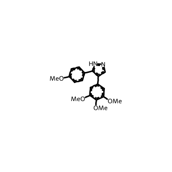 COc1ccc(-c2[nH]ncc2-c2cc(OC)c(OC)c(OC)c2)cc1